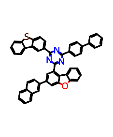 c1ccc(-c2ccc(-c3nc(-c4ccc5sc6ccccc6c5c4)nc(-c4cc(-c5ccc6ccccc6c5)cc5oc6ccccc6c45)n3)cc2)cc1